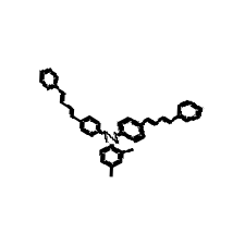 Cc1ccc(N(c2ccc(C=CC=Cc3ccccc3)cc2)c2ccc(C=CC=Cc3ccccc3)cc2)c(C)c1